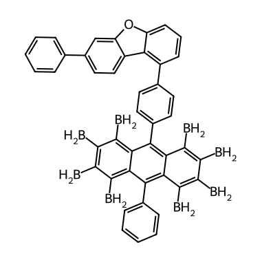 Bc1c(B)c(B)c2c(-c3ccc(-c4cccc5oc6cc(-c7ccccc7)ccc6c45)cc3)c3c(B)c(B)c(B)c(B)c3c(-c3ccccc3)c2c1B